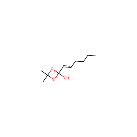 CCCCC=CC1(O)OC(C)(C)O1